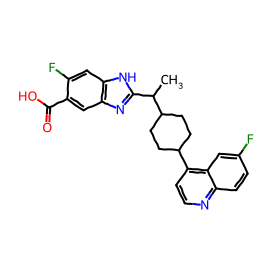 CC(c1nc2cc(C(=O)O)c(F)cc2[nH]1)C1CCC(c2ccnc3ccc(F)cc23)CC1